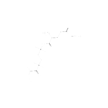 CCSC(C)C(=O)C(C)(C)CCC(C)(C)OC(=O)C(N)CCC(=O)OC(C)(C)C